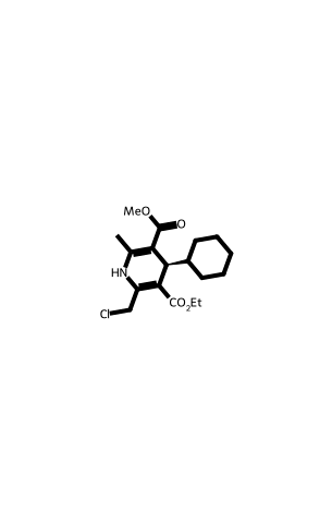 CCOC(=O)C1=C(CCl)NC(C)=C(C(=O)OC)[C@H]1C1CCCCC1